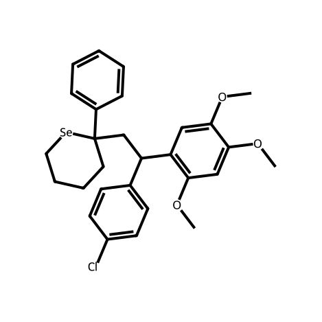 COc1cc(OC)c(C(CC2(c3ccccc3)CCCC[Se]2)c2ccc(Cl)cc2)cc1OC